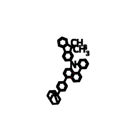 CC1(C)c2ccccc2-c2ccc(N(c3ccc(-c4ccc(C56CC7CC(CC(C7)C5)C6)cc4)cc3)c3ccccc3-c3ccccc3)cc21